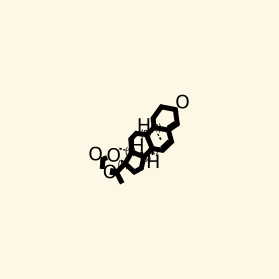 CC(=O)O[C@@]1(C(C)=O)CC[C@H]2[C@@H]3C=CC4=CC(=O)CC[C@]4(C)[C@H]3CC[C@@]21C